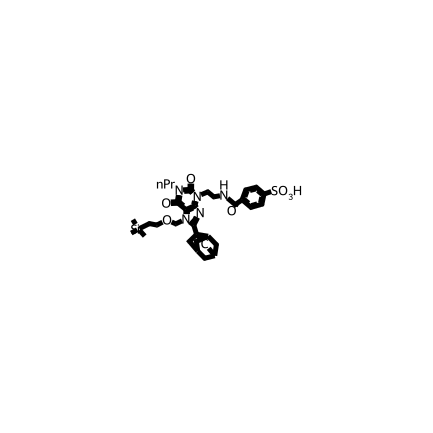 CCCn1c(=O)c2c(nc(C34CC5CC(CC3C5)C4)n2COCC[Si](C)(C)C)n(CCNC(=O)c2ccc(S(=O)(=O)O)cc2)c1=O